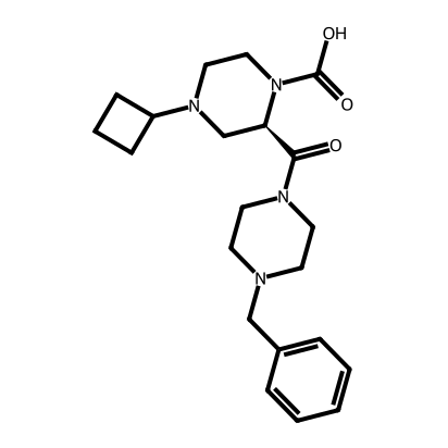 O=C([C@H]1CN(C2CCC2)CCN1C(=O)O)N1CCN(Cc2ccccc2)CC1